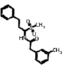 Cc1cccc(CC(=O)NC(CCc2ccccc2)S(C)(=O)=O)c1